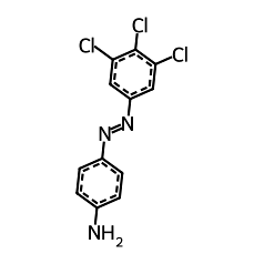 Nc1ccc(/N=N/c2cc(Cl)c(Cl)c(Cl)c2)cc1